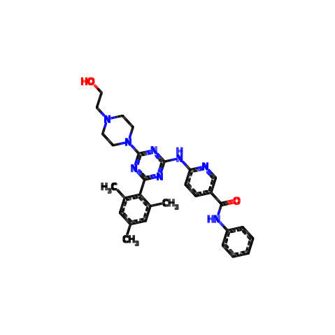 Cc1cc(C)c(-c2nc(Nc3ccc(C(=O)Nc4ccccc4)cn3)nc(N3CCN(CCO)CC3)n2)c(C)c1